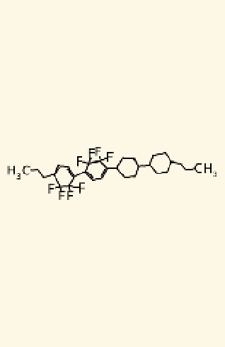 CCCC1=CC=C(C2=CC=C(C3CCC(C4CCC(CCC)CC4)CC3)C(F)(F)C2(F)F)C(F)(F)C1(F)F